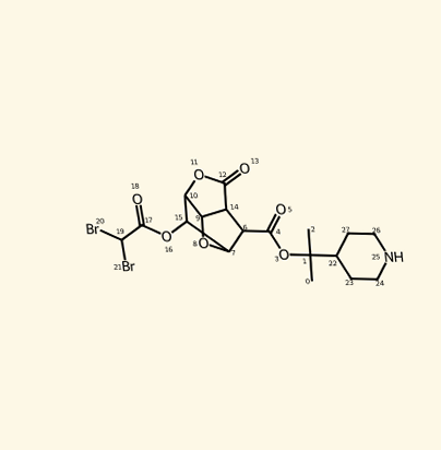 CC(C)(OC(=O)C1C2OC3C(OC(=O)C31)C2OC(=O)C(Br)Br)C1CCNCC1